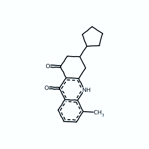 Cc1cccc2c(=O)c3c([nH]c12)CC(C1CCCC1)CC3=O